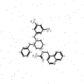 O=C(N(Cc1ccnc2ccccc12)[C@H]1CCN(Cc2cc(C(F)(F)F)cc(C(F)(F)F)c2)[C@H](Cc2ccccc2)C1)C(F)(F)F